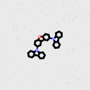 c1ccc2c(c1)c1ccccc1n2-c1ccc2oc3ccc(-n4c5ccccc5c5ccccc54)cc3c2c1